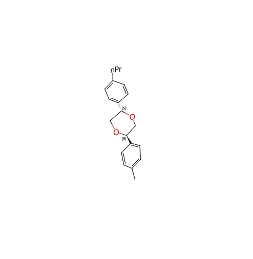 CCCc1ccc([C@H]2CO[C@H](c3ccc(C)cc3)CO2)cc1